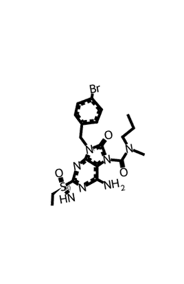 CCCN(C)C(=O)n1c(=O)n(Cc2ccc(Br)cc2)c2nc([S@](=N)(=O)CC)nc(N)c21